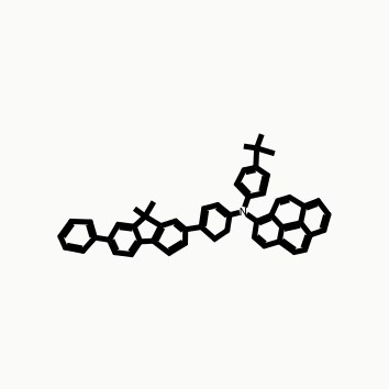 CC(C)(C)c1ccc(N(C2=CC=C(c3ccc4c(c3)C(C)(C)c3cc(-c5ccccc5)ccc3-4)CC2)c2ccc3ccc4cccc5ccc2c3c45)cc1